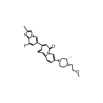 COCCN1CCN(C2=CN3C(=O)\C=C(c4cc(F)c5nc(C)cn5c4)/C=C/C=C/3C=C2)C[C@@H]1C